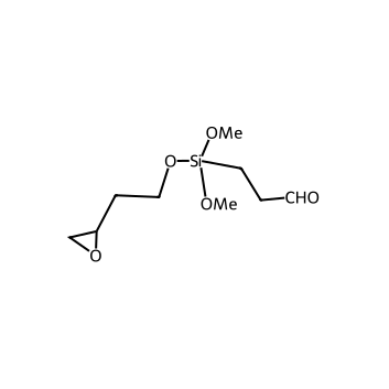 CO[Si](CCC=O)(OC)OCCC1CO1